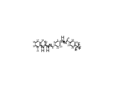 C/C(=N\Nc1ccc(/C=N/NC(=S)Nc2c(C)cccc2C)cc1)c1ccc(C(F)(F)F)cc1